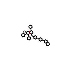 c1ccc(-c2ccc(N(c3ccc(-c4ccc(-c5ccc6ccccc6c5)cc4)cc3)c3ccccc3-c3cccc4oc5ccccc5c34)cc2)cc1